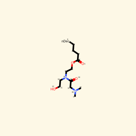 CCCCCCCCCCCCCC(=O)OCCN(CCO)C(=O)CN(C)C